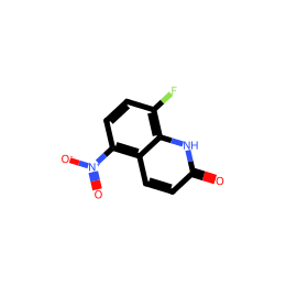 O=c1ccc2c([N+](=O)[O-])ccc(F)c2[nH]1